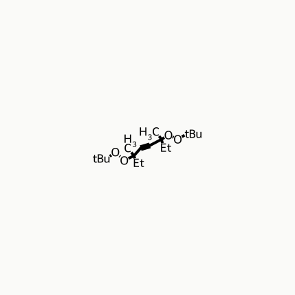 CCC(C)(C#CC(C)(CC)OOC(C)(C)C)OOC(C)(C)C